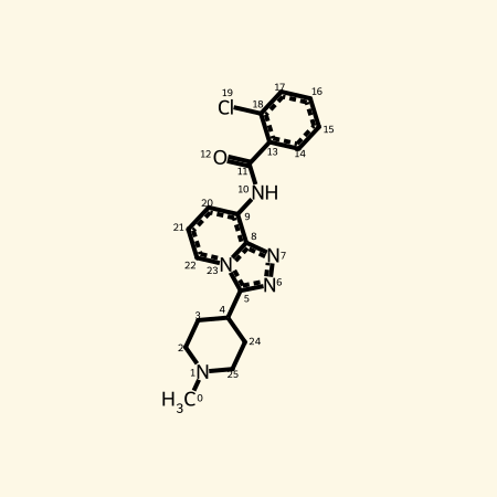 CN1CCC(c2nnc3c(NC(=O)c4ccccc4Cl)cccn23)CC1